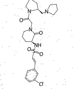 O=C1[C@@H](NS(=O)(=O)/C=C/c2cccc(Cl)c2)CCCN1CC(=O)N1CCC[C@H]1CN1CCCC1